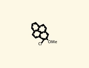 COc1cc2ccc3cccc4ccc(c1Cl)c2c34